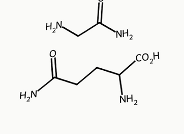 NC(=O)CCC(N)C(=O)O.NCC(N)=O